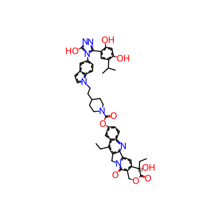 CCc1c2c(nc3ccc(OC(=O)N4CCC(CCn5ccc6cc(-n7c(O)nnc7-c7cc(C(C)C)c(O)cc7O)ccc65)CC4)cc13)-c1cc3c(c(=O)n1C2)COC(=O)[C@]3(O)CC